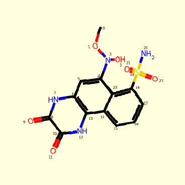 CON(O)c1cc2[nH]c(=O)c(=O)[nH]c2c2cccc(S(N)(=O)=O)c12